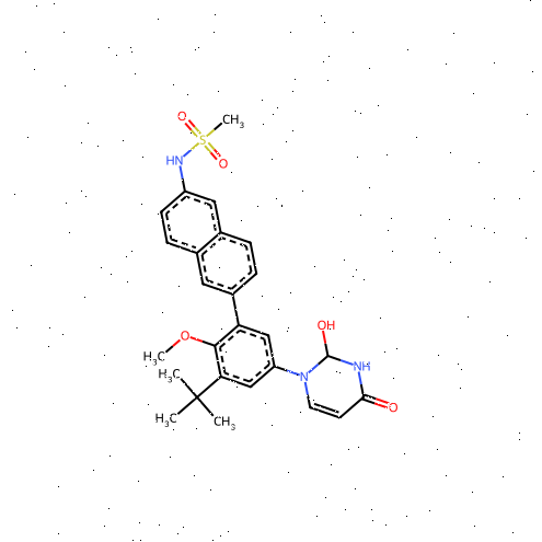 COc1c(-c2ccc3cc(NS(C)(=O)=O)ccc3c2)cc(N2C=CC(=O)NC2O)cc1C(C)(C)C